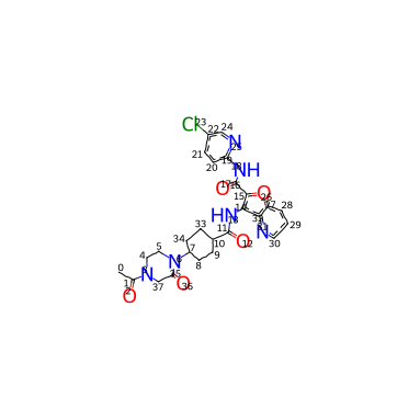 CC(=O)N1CCN(C2CCC(C(=O)Nc3c(C(=O)Nc4ccc(Cl)cn4)oc4cccnc34)CC2)C(=O)C1